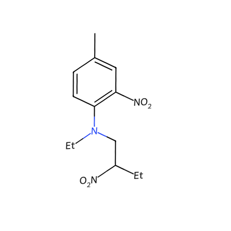 CCC(CN(CC)c1ccc(C)cc1[N+](=O)[O-])[N+](=O)[O-]